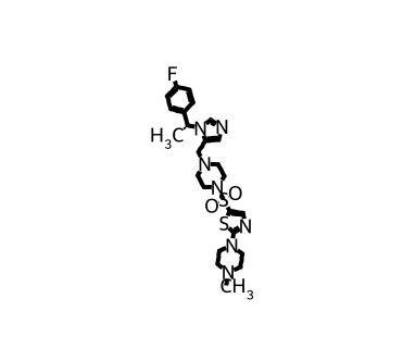 C[C@H](c1ccc(F)cc1)n1cncc1CN1CCN(S(=O)(=O)c2cnc(N3CCN(C)CC3)s2)CC1